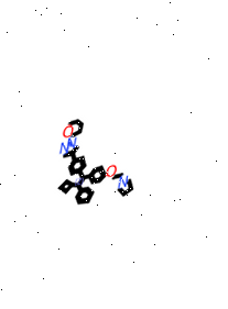 c1ccc(/C(=C(\c2ccc(OCCN3CCCC3)cc2)c2ccc(-c3cnn(C4CCCCO4)c3)cc2)C2CCC2)cc1